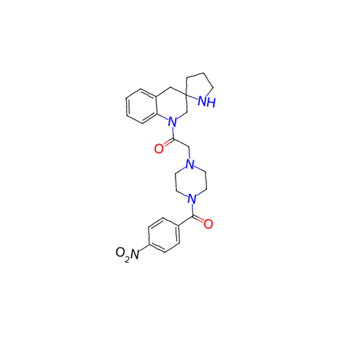 O=C(c1ccc([N+](=O)[O-])cc1)N1CCN(CC(=O)N2CC3(CCCN3)Cc3ccccc32)CC1